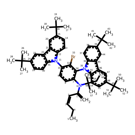 C=C(/C=C\CC)N(c1ccc(-n2c3ccc(C(C)(C)C)cc3c3cc(C(C)(C)C)ccc32)c(Br)c1-n1c2ccc(C(C)(C)C)cc2c2cc(C(C)(C)C)ccc21)C(C)(C)CC